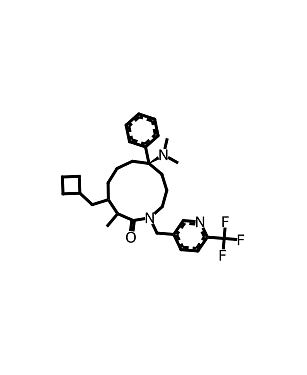 CC1C(=O)N(Cc2ccc(C(F)(F)F)nc2)CCC[C@](c2ccccc2)(N(C)C)CCCC1CC1CCC1